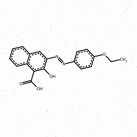 CCOc1ccc(N=Nc2cc3ccccc3c(C(=O)O)c2O)cc1